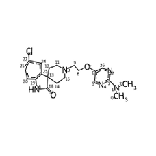 CN(C)c1ncc(OCCN2CCC3(CC2)C(=O)Nc2ccc(Cl)cc23)cn1